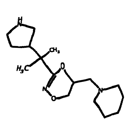 CC(C)(C1=NOCC(CN2CCCCC2)O1)C1CCNC1